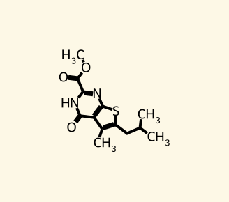 COC(=O)c1nc2sc(CC(C)C)c(C)c2c(=O)[nH]1